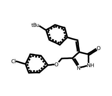 CC(C)(C)c1ccc(C=C2C(=O)NN=C2COc2ccc(Cl)cc2)cc1